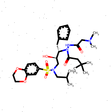 CC(C)CN(C[C@@H](O)[C@H](Cc1ccccc1)N(NC(=O)CN(C)C)C(=O)CC(C)(C)C)S(=O)(=O)c1ccc2c(c1)OCCO2